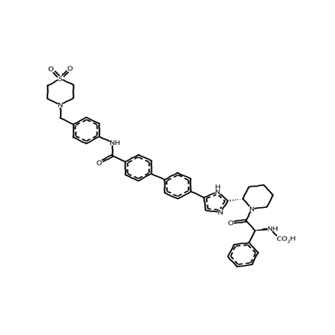 O=C(O)N[C@H](C(=O)N1CCCC[C@H]1c1ncc(-c2ccc(-c3ccc(C(=O)Nc4ccc(CN5CCS(=O)(=O)CC5)cc4)cc3)cc2)[nH]1)c1ccccc1